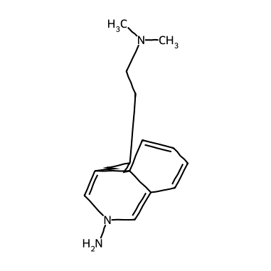 CN(C)CCC1CCC2=CN(N)C=C3C=CC=CC32C1